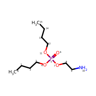 CCCCOP(=O)(OCCN)OCCCC